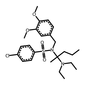 CCCC(C)(N(CC)CC)N(Cc1ccc(OC)c(OC)c1)S(=O)(=O)c1ccc(Cl)cc1